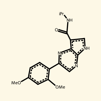 COc1ccc(-c2cnc3[nH]cc(C(=O)NC(C)C)c3n2)c(OC)c1